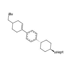 CCCCCCC[C@H]1CC[C@H](c2ccc(C3=CCC(CC(C)CC)CC3)cc2)CC1